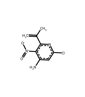 C=C(C)c1nc(Cl)cc(N)c1[N+](=O)[O-]